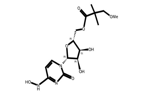 COCC(C)(C)C(=O)OC[C@H]1O[C@@H](n2ccc(NO)nc2=O)[C@H](O)[C@@H]1O